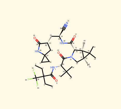 CCC(CC)(C(=O)N[C@H](C(=O)N1C[C@H]2[C@@H]([C@H]1C(=O)N[C@H](C#N)C[C@@H]1CC3(CC3)NC1=O)C2(C)C)C(C)(C)C)C(F)(F)F